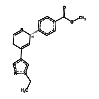 CCn1cc(C2=C[C@@H](c3ccc(C(=O)OC)cc3)N=CC2)cn1